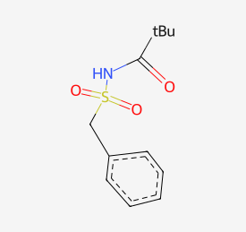 CC(C)(C)C(=O)NS(=O)(=O)Cc1ccccc1